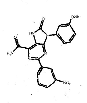 COc1cccc(-n2c(=O)[nH]c3c(C(N)=O)nc(-c4cccc(N)c4)nc32)c1